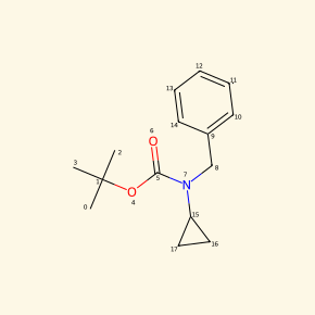 CC(C)(C)OC(=O)N(Cc1c[c]ccc1)C1CC1